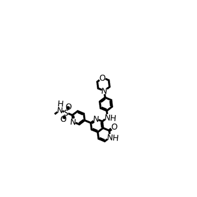 CNS(=O)(=O)c1ccc(-c2cc3cc[nH]c(=O)c3c(Nc3ccc(N4CCOCC4)cc3)n2)cn1